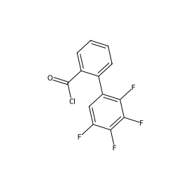 O=C(Cl)c1ccccc1-c1cc(F)c(F)c(F)c1F